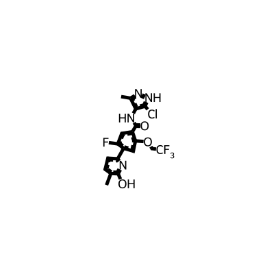 Cc1ccc(-c2cc(OCC(F)(F)F)c(C(=O)Nc3c(C)n[nH]c3Cl)cc2F)nc1O